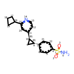 NS(=O)(=O)c1ccc([C@@H]2C[C@H]2c2ccnc(C3CCC3)c2)cc1